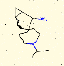 CC(C)N1CCC2(CC1)CC1CC1[C@@H]2N